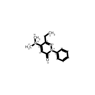 CCc1nn(-c2ccccc2)c(=O)cc1N(C)C